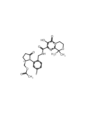 CC(=O)OC[C@H]1CCC(=O)N1c1cc(F)ccc1CNC(=O)c1nc2n(c(=O)c1O)CCOC2(C)C